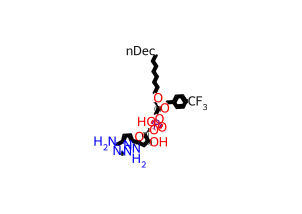 CCCCCCCCCCCCCCCCCCOC[C@H](COP(=O)(O)OC[C@H]1O[C@@](N)(c2ccc3c(N)ncnn23)C[C@@H]1O)OCc1ccc(C(F)(F)F)cc1